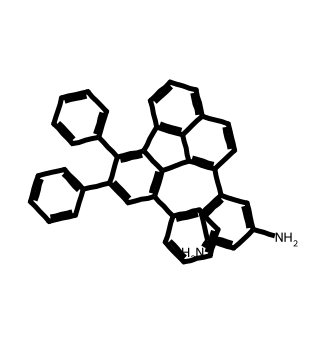 Nc1cc(N)cc(-c2ccc3cccc4c3c2-c2c(-c3ccccc3)cc(-c3ccccc3)c(-c3ccccc3)c2-4)c1